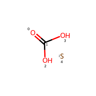 O=C(O)O.[S]